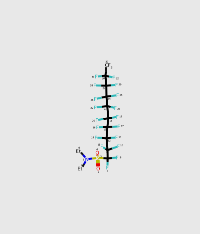 [CH2]CN(CC)S(=O)(=O)C(F)(F)C(F)(F)C(F)(F)C(F)(F)C(F)(F)C(F)(F)C(F)(F)C(F)(F)C(F)(F)C(F)(F)F